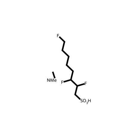 CNC.O=S(=O)(O)CC(F)C(F)CCCCCF